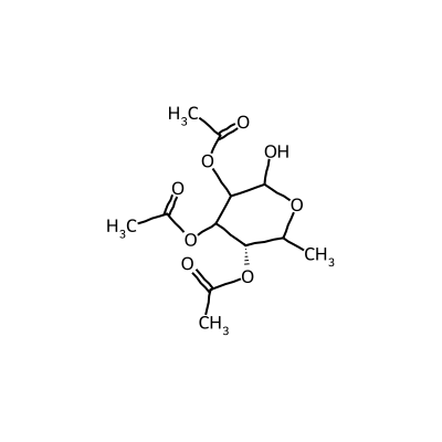 CC(=O)OC1C(O)OC(C)[C@H](OC(C)=O)C1OC(C)=O